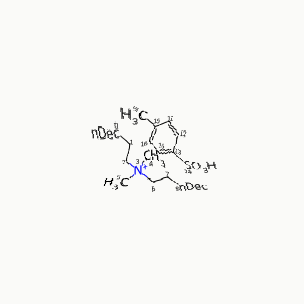 CCCCCCCCCCCC[N+](C)(C)CCCCCCCCCCCC.Cc1ccc(S(=O)(=O)O)cc1